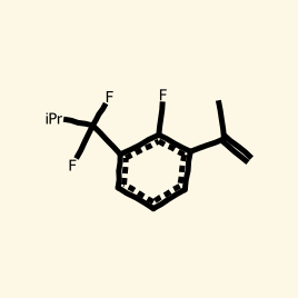 C=C(C)c1cccc(C(F)(F)C(C)C)c1F